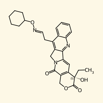 CC[C@@]1(O)C(=O)OCc2c1cc1n(c2=O)Cc2c-1nc1ccccc1c2CC=NOC1CCCCC1